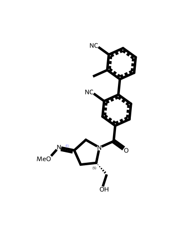 CO/N=C1\C[C@@H](CO)N(C(=O)c2ccc(-c3cccc(C#N)c3C)c(C#N)c2)C1